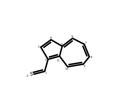 S=Cc1ccc2cccccc1-2